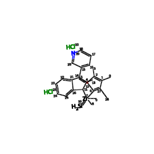 CC1=C(C)C(C)[C]([Zr]([CH3])([CH3])(=[SiH2])[CH]2C(C)=C(c3cccnc3)c3ccccc32)=C1C.Cl.Cl